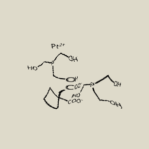 O=C([O-])C1(C(=O)[O-])CCC1.OCP(CO)CO.OCP(CO)CO.[Pt+2]